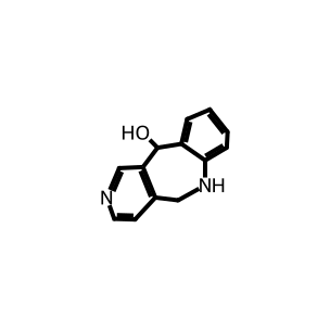 OC1c2cnccc2CNc2ccccc21